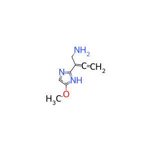 C=C=C(CN)c1ncc(OC)[nH]1